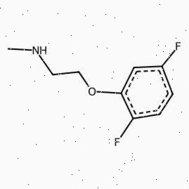 CNCCOc1cc(F)ccc1F